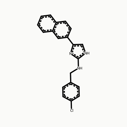 Clc1ccc(CNc2nc(-c3ccc4ccccc4c3)c[nH]2)cc1